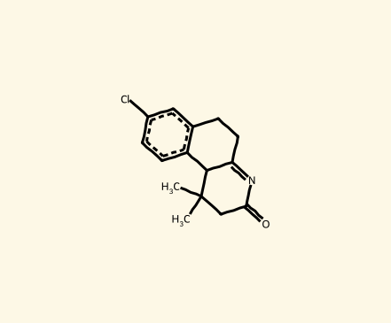 CC1(C)CC(=O)N=C2CCc3cc(Cl)ccc3C21